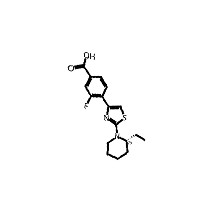 CC[C@@H]1CCCCN1c1nc(-c2ccc(C(=O)O)cc2F)cs1